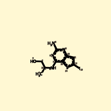 C[C@@H](CO)Nc1nc(N)nc2cc(I)sc12